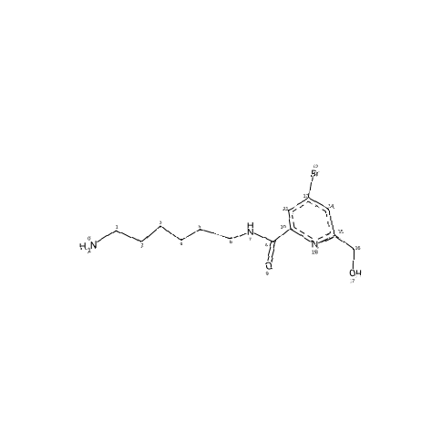 NCCCCCCNC(=O)c1cc(Br)cc(CO)n1